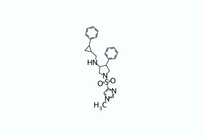 Cn1cnc(S(=O)(=O)N2CC(NCC3CC3c3ccccc3)C(c3ccccc3)C2)c1